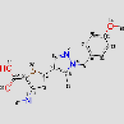 CNc1cc(-c2cnn(Cc3ccc(OC)cc3)c2C)sc1C(=O)O